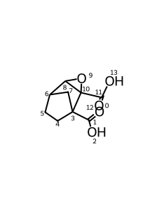 O=C(O)C12CCC(C1)C1OC12C(=O)O